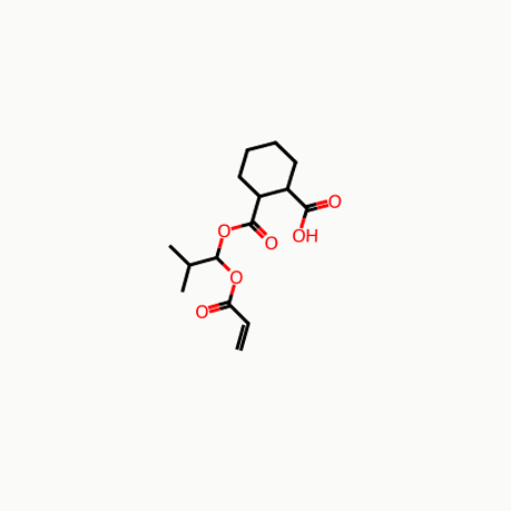 C=CC(=O)OC(OC(=O)C1CCCCC1C(=O)O)C(C)C